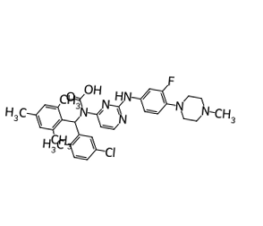 Cc1cc(C)c(C(c2cc(Cl)ccc2C)N(C(=O)O)c2ccnc(Nc3ccc(N4CCN(C)CC4)c(F)c3)n2)c(C)c1